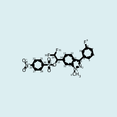 Cn1nc(-c2cccc(F)c2)c2ccc(C(OS(=O)(=O)c3ccc([N+](=O)[O-])cc3)C(F)F)cc21